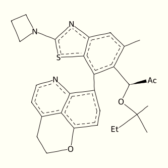 CCC(C)(C)O[C@H](C(C)=O)c1c(C)cc2nc(N3CCC3)sc2c1-c1ccc2c3c(ccnc13)CCO2